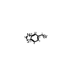 BrCc1ccc2scnc2c1